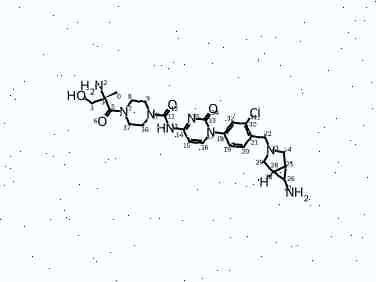 C[C@](N)(CO)C(=O)N1CCN(C(=O)Nc2ccn(-c3ccc(CN4CC5C(N)[C@@H]5C4)c(Cl)c3)c(=O)n2)CC1